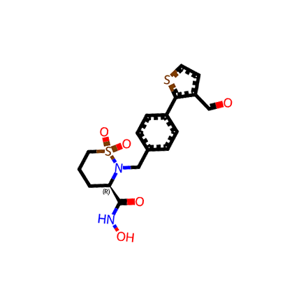 O=Cc1ccsc1-c1ccc(CN2[C@@H](C(=O)NO)CCCS2(=O)=O)cc1